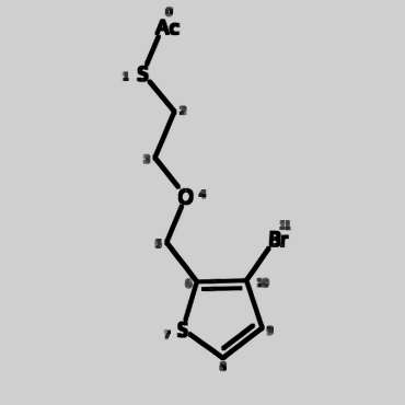 CC(=O)SCCOCc1sccc1Br